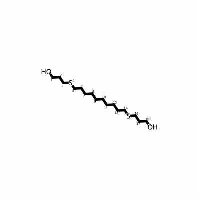 OCCCSCCCCCCCCCCSCCCO